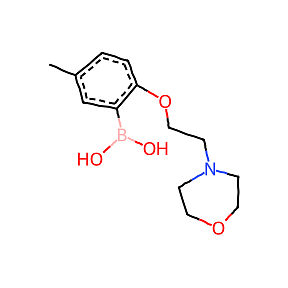 Cc1ccc(OCCN2CCOCC2)c(B(O)O)c1